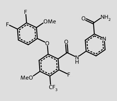 COc1cc(Oc2ccc(F)c(F)c2OC)c(C(=O)Nc2ccnc(C(N)=O)c2)c(F)c1C(F)(F)F